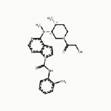 Cc1ccccc1NC(=O)n1ccc2c(N(C)[C@H]3CN(C(=O)CC#N)CC[C@H]3C)ncnc21